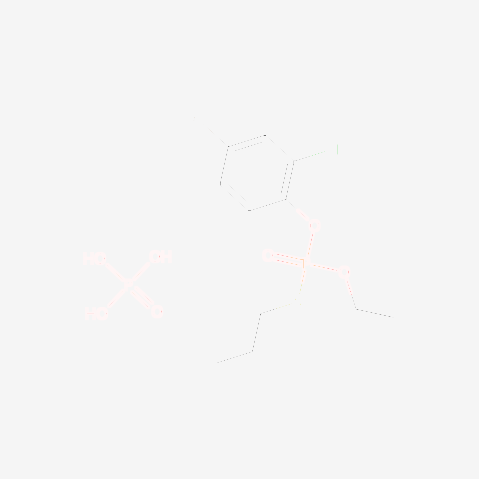 CCCSP(=O)(OCC)Oc1ccc(Br)cc1Cl.O=P(O)(O)O